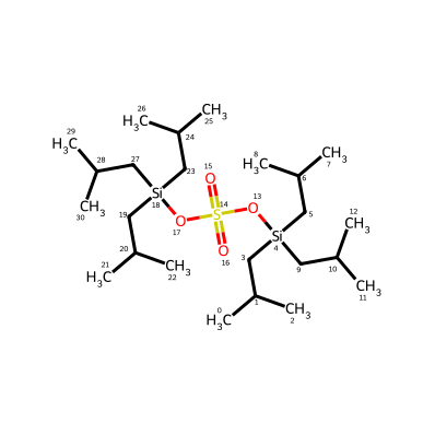 CC(C)C[Si](CC(C)C)(CC(C)C)OS(=O)(=O)O[Si](CC(C)C)(CC(C)C)CC(C)C